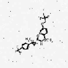 C[C@@H](NC(=O)[C@@H]1C[C@@]1(C)c1ccc(C(F)(F)F)cc1)c1ccc(OCC(F)(F)F)cn1